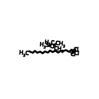 CC(C)(C)O[SiH3].CCCCCCCCCCCCCCCCCC[Si](Cl)(Cl)Cl